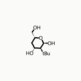 CC(C)(C)[C@H]1[C@H](O)C[C@H](CO)O[C@H]1O